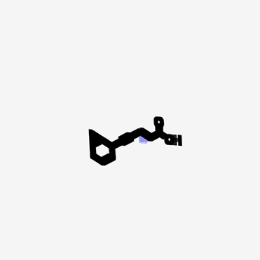 O=C(O)/C=C/C#CC1C=CCC2CC12